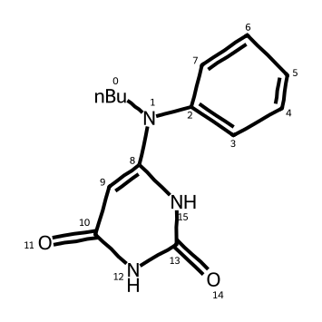 CCCCN(c1ccccc1)c1cc(=O)[nH]c(=O)[nH]1